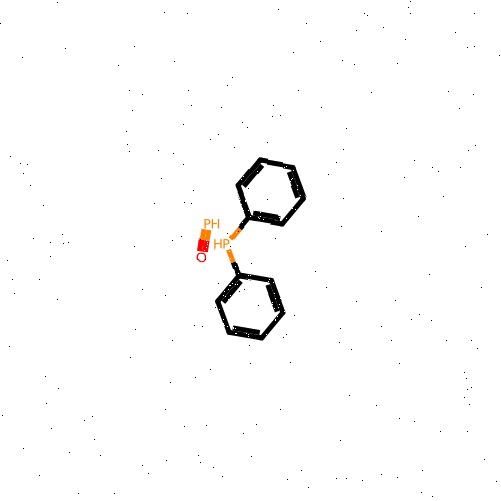 O=P.c1ccc(Pc2ccccc2)cc1